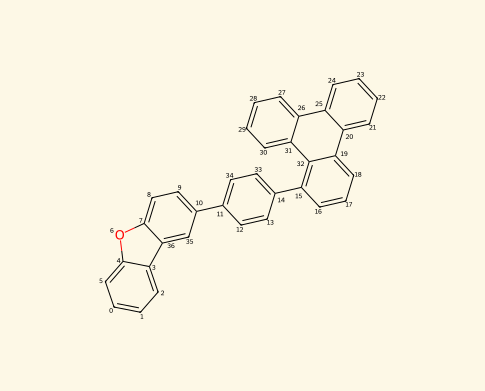 c1ccc2c(c1)oc1ccc(-c3ccc(-c4cccc5c6ccccc6c6ccccc6c45)cc3)cc12